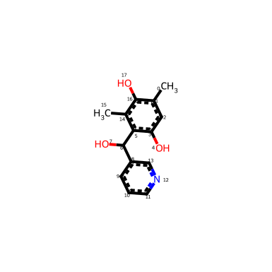 Cc1cc(O)c(C(O)c2cccnc2)c(C)c1O